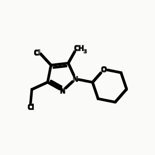 Cc1c(Cl)c(CCl)nn1C1CCCCO1